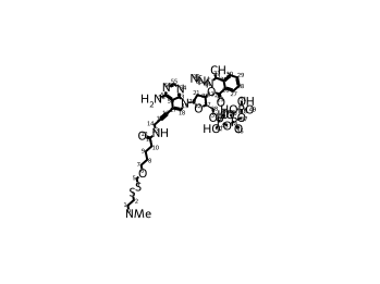 CNCCSSCOCCCCC(=O)NCC#Cc1cn([C@H]2CC(OC(=O)c3ccccc3C(C)N=[N+]=[N-])[C@@H](COP(=O)(O)OP(=O)(O)OP(=O)(O)O)O2)c2ncnc(N)c12